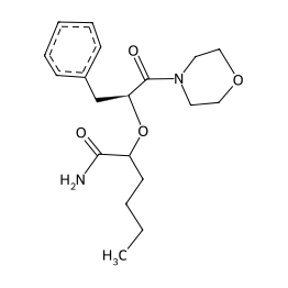 CCCCC(O[C@@H](Cc1ccccc1)C(=O)N1CCOCC1)C(N)=O